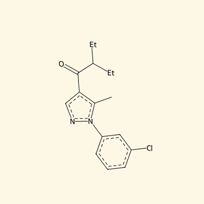 CCC(CC)C(=O)c1cnn(-c2cccc(Cl)c2)c1C